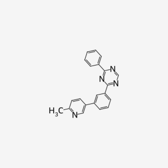 Cc1ccc(-c2cccc(-c3ncnc(-c4ccccc4)n3)c2)cn1